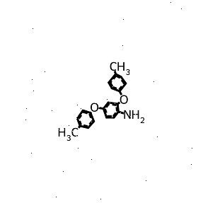 Cc1ccc(Oc2ccc(N)c(Oc3ccc(C)cc3)c2)cc1